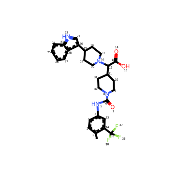 Cc1ccc(NC(=O)N2CCC(C(C(=O)O)N3CCC(c4c[nH]c5ccccc45)CC3)CC2)cc1C(F)(F)F